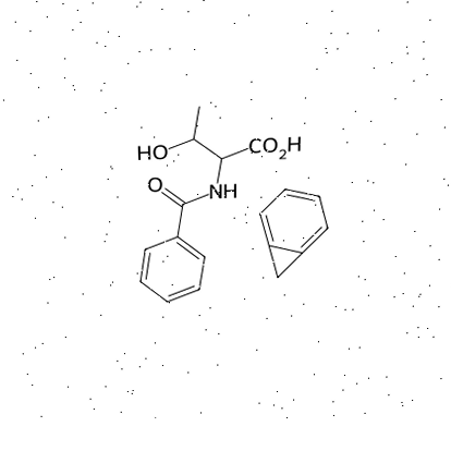 CC(O)C(NC(=O)c1ccccc1)C(=O)O.c1ccc2c(c1)C2